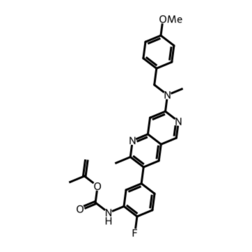 C=C(C)OC(=O)Nc1cc(-c2cc3cnc(N(C)Cc4ccc(OC)cc4)cc3nc2C)ccc1F